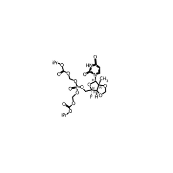 CC(C)OC(=O)OCOP(=O)(OCOC(=O)OC(C)C)OC[C@@]1(F)O[C@@H](n2ccc(=O)[nH]c2=O)[C@]2(C)OCO[C@@H]21